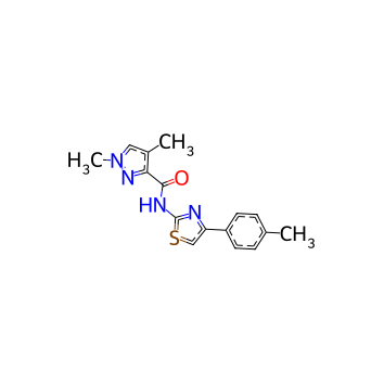 Cc1ccc(-c2csc(NC(=O)c3nn(C)cc3C)n2)cc1